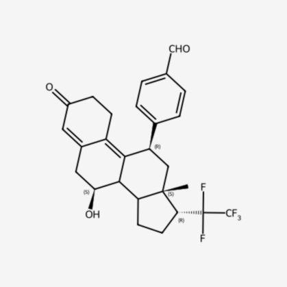 C[C@]12C[C@H](c3ccc(C=O)cc3)C3=C4CCC(=O)C=C4C[C@H](O)C3C1CC[C@H]2C(F)(F)C(F)(F)F